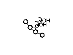 C=CC(=O)O.C=CC(=O)O.c1ccc(-c2ccc3c(c2)Cc2cc(-c4ccccc4)ccc2-3)cc1